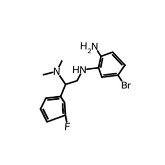 CN(C)C(CNc1cc(Br)ccc1N)c1cccc(F)c1